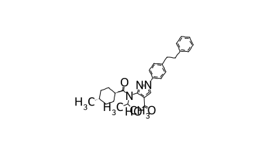 CC(C)N(c1nn(-c2ccc(CCc3ccccc3)cc2)cc1C(=O)O)C(=O)[C@H]1CC[C@H](C)CC1